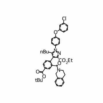 CCCCc1c(-c2ccc(C(=O)OC(C)(C)C)cc2C(=O)N2CCc3ccccc3C2)c(C(=O)OCC)nn1-c1ccc(Oc2cccc(Cl)c2)cc1